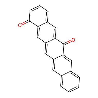 O=C1C=CC=c2cc3c(cc21)=Cc1cc2ccccc2cc1C3=O